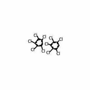 Clc1cc(Cl)c(Cl)c(Cl)c1Cl.Clc1cc(Cl)c(Cl)c(Cl)c1Cl